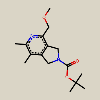 COCc1nc(C)c(C)c2c1CN(C(=O)OC(C)(C)C)C2